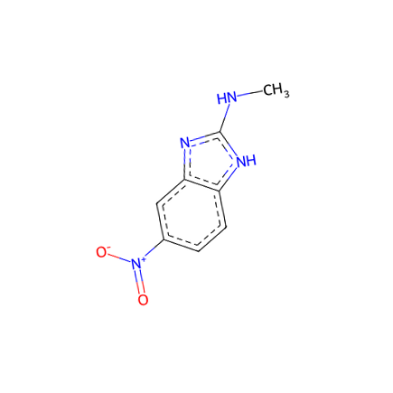 CNc1nc2cc([N+](=O)[O-])ccc2[nH]1